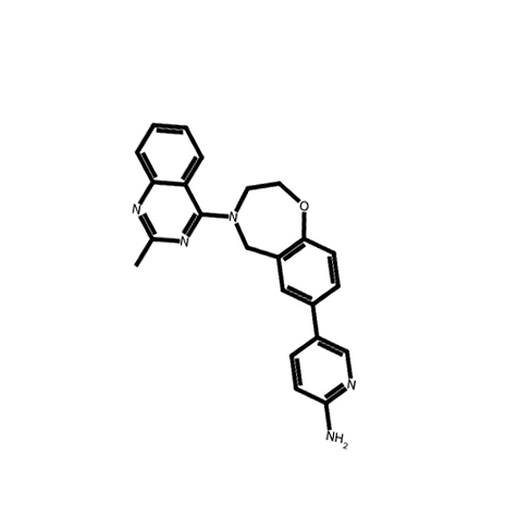 Cc1nc(N2CCOc3ccc(-c4ccc(N)nc4)cc3C2)c2ccccc2n1